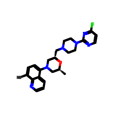 C[C@@H]1CN(c2ccc(C#N)c3ncccc23)C[C@H](CN2CCN(c3nccc(Cl)n3)CC2)O1